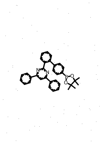 CC1(C)OB(c2ccc(-c3ccccc3-c3nc(-c4ccccc4)cc(-c4ccccc4)n3)cc2)OC1(C)C